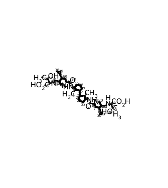 Cc1c(NC(=O)c2cc(C3CC3)c(CNC(C(=O)O)C(C)O)cn2)cccc1-c1cccc(NC(=O)c2cc(C3CC3)c(CNC(C(=O)O)C(C)O)cn2)c1C